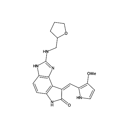 COc1cc[nH]c1C=C1C(=O)Nc2ccc3[nH]c(NCC4CCCO4)nc3c21